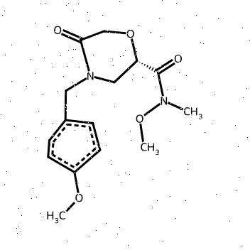 COc1ccc(CN2C[C@@H](C(=O)N(C)OC)OCC2=O)cc1